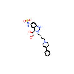 CS(=O)(=O)Nc1ccc2c(c1)C(C(=O)C=O)N(CCCCN1CC=C(c3ccccc3)CC1)CN2